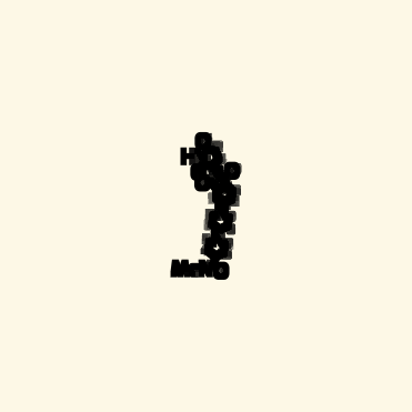 CNC(=O)C1CCN(C2CCN(c3ccc4c(c3)C(=O)N(C3CCC(=O)NC3=O)C4=O)CC2)CC1